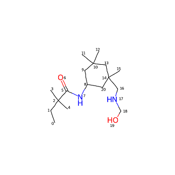 CCC(C)(C)C(=O)NC1CC(C)(C)CC(C)(CNCO)C1